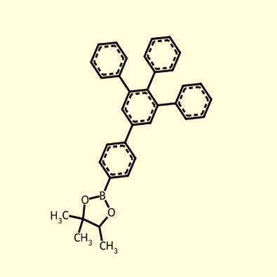 CC1OB(c2ccc(-c3cc(-c4ccccc4)c(-c4ccccc4)c(-c4ccccc4)c3)cc2)OC1(C)C